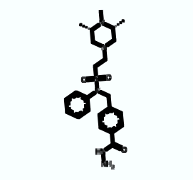 C[C@@H]1CN(CCS(=O)(=O)N(Cc2ccc(C(=O)NN)cc2)c2ccccc2)C[C@H](C)N1C